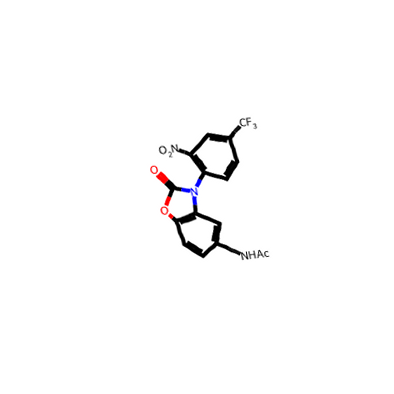 CC(=O)Nc1ccc2oc(=O)n(-c3ccc(C(F)(F)F)cc3[N+](=O)[O-])c2c1